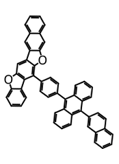 c1ccc2cc(-c3c4ccccc4c(-c4ccc(-c5c6oc7cc8ccccc8cc7c6cc6oc7ccccc7c56)cc4)c4ccccc34)ccc2c1